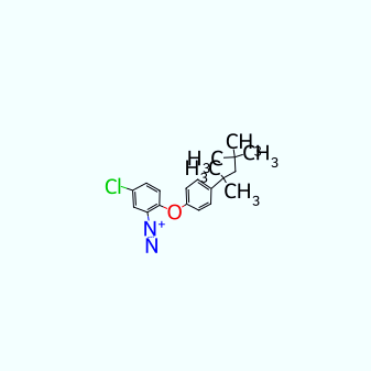 CC(C)(C)CC(C)(C)c1ccc(Oc2ccc(Cl)cc2[N+]#N)cc1